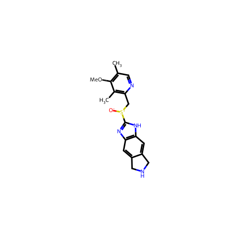 COc1c(C)cnc(C[S+]([O-])c2nc3cc4c(cc3[nH]2)CNC4)c1C